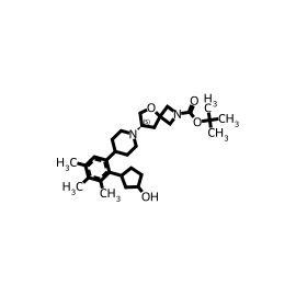 Cc1cc(C2CCN([C@@H]3COC4(C3)CN(C(=O)OC(C)(C)C)C4)CC2)c(C2CCC(O)C2)c(C)c1C